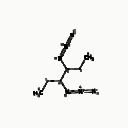 CCC(N=[N+]=[N-])C(CC)N=[N+]=[N-]